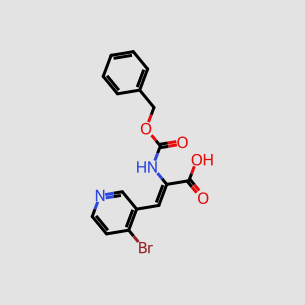 O=C(N/C(=C\c1cnccc1Br)C(=O)O)OCc1ccccc1